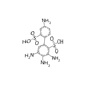 Nc1ccc(-c2cc(N)c(N)c(N)c2S(=O)(=O)O)c(S(=O)(=O)O)c1